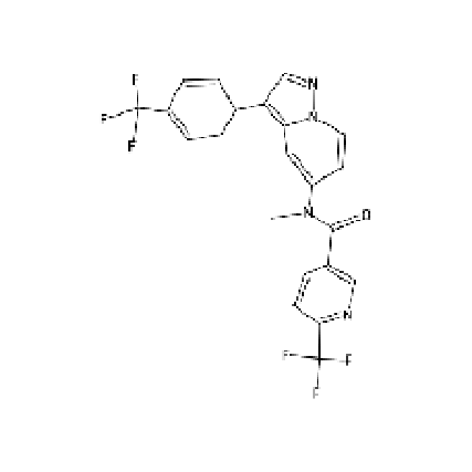 CN(C(=O)c1ccc(C(F)(F)F)nc1)c1ccn2ncc(C3C=CC(C(F)(F)F)=CC3)c2c1